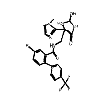 Cn1ccnc1C1(CNC(=O)c2cc(F)ccc2-c2ccc(C(F)(F)F)cc2)NC(O)NC1=O